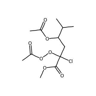 COC(=O)C(Cl)(CC(OC(C)=O)C(C)C)OOC(C)=O